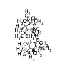 COP(Oc1cc(C)c(C(C)(C)C)c(C)c1C(C)(C)C)Oc1cc(C)c(C(C)(C)C)c(C)c1C(C)(C)C